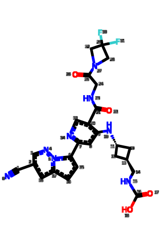 N#Cc1cnn2c(-c3cc(N[C@H]4C[C@H](CNC(=O)O)C4)c(C(=O)NCC(=O)N4CC(F)(F)C4)cn3)ccc2c1